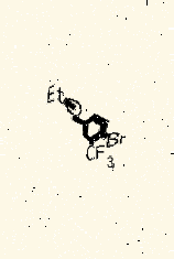 [CH2]COCc1ccc(Br)c(C(F)(F)F)c1